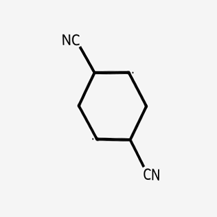 N#CC1[CH]CC(C#N)[CH]C1